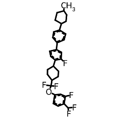 CC1CCC(c2ccc(-c3ccc(C4CCC(C(F)(F)Oc5ccc(C(F)F)c(F)c5)CC4)c(F)c3)cc2)CC1